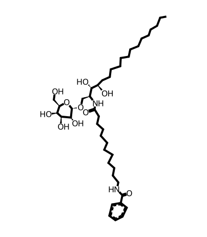 CCCCCCCCCCCCCC[C@@H](O)[C@@H](O)[C@H](CO[C@H]1O[C@H](CO)[C@H](O)[C@H](O)[C@H]1O)NC(=O)CCCCCCCCCCCNC(=O)c1ccccc1